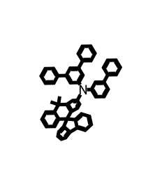 CC1(C)c2ccccc2C2(c3ccccc3-c3ccccc32)c2ccc(N(c3cccc(-c4ccccc4)c3)c3cc(-c4ccccc4)cc(-c4ccccc4)c3)cc21